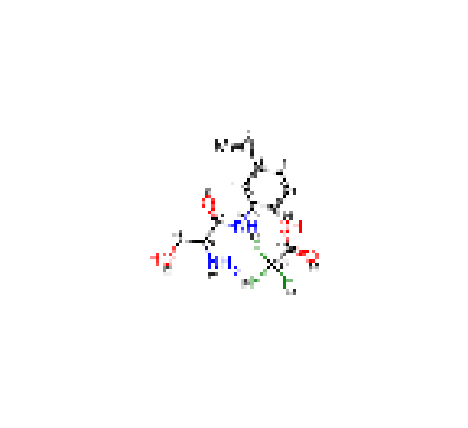 COc1cccc(NC(=O)C(N)CO)c1.O=C(O)C(F)(F)F